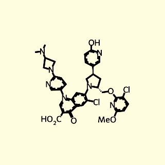 COc1ccc(Cl)c(OC[C@H]2C[C@H](c3ccc(O)nc3)CN2c2cc3c(cc2Cl)c(=O)c(C(=O)O)cn3-c2ccc(N3CC(N(C)C)C3)nc2)n1